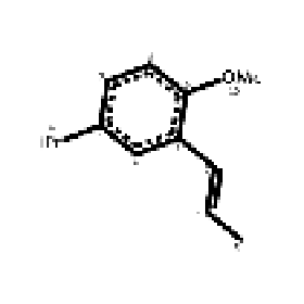 CC=Cc1cc(C(C)C)ccc1OC